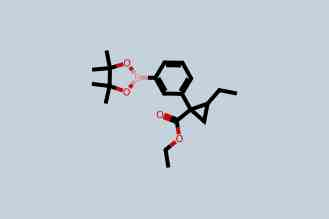 CCOC(=O)C1(c2cccc(B3OC(C)(C)C(C)(C)O3)c2)CC1CC